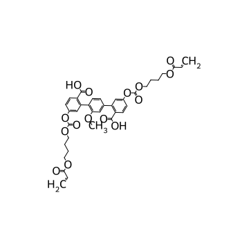 C=CC(=O)OCCCCOC(=O)Oc1ccc(C(=O)O)c(-c2ccc(-c3cc(OC(=O)OCCCCOC(=O)C=C)ccc3C(=O)O)c(OC)c2)c1